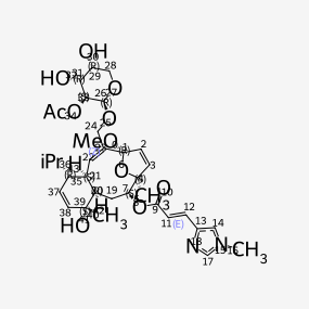 CO[C@]12C=C[C@](C)(O1)[C@@H](OC(=O)/C=C/c1cn(C)cn1)C[C@@H]1[C@H](/C=C\2CO[C@@H]2OC[C@@H](O)[C@@H](O)[C@@H]2OC(C)=O)[C@@H](C(C)C)C=C[C@@]1(C)O